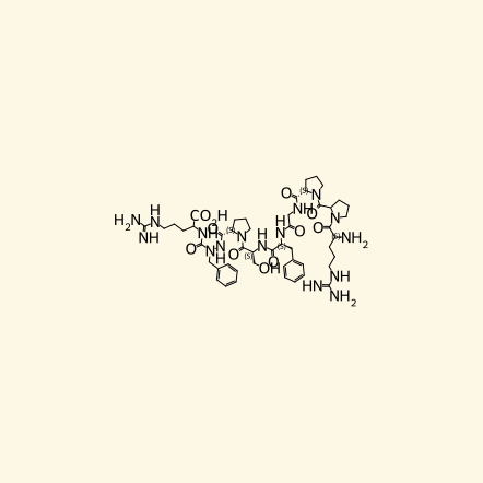 N=C(N)NCCCC(NC(=O)N(Cc1ccccc1)NC(=O)[C@@H]1CCCN1C(=O)[C@H](CO)NC(=O)[C@H](Cc1ccccc1)NC(=O)CNC(=O)[C@@H]1CCCN1C(=O)C1CCCN1C(=O)[C@@H](N)CCCNC(=N)N)C(=O)O